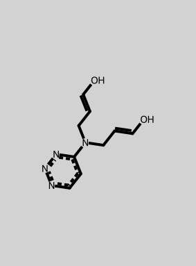 OC=CCN(CC=CO)c1ccnnn1